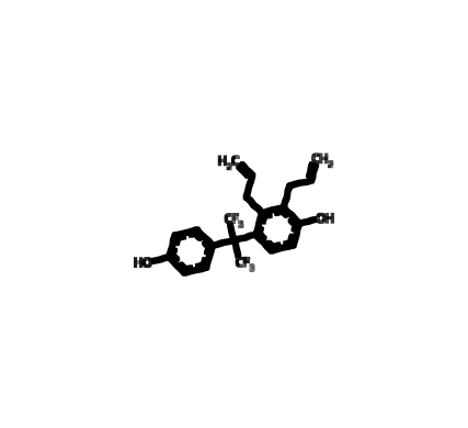 C=CCc1c(O)ccc(C(c2ccc(O)cc2)(C(F)(F)F)C(F)(F)F)c1CC=C